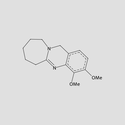 COc1ccc2c(c1OC)N=C1CCCCCN1C2